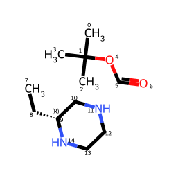 CC(C)(C)OC=O.CC[C@@H]1CNCCN1